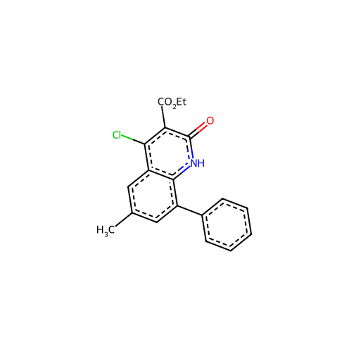 CCOC(=O)c1c(Cl)c2cc(C)cc(-c3ccccc3)c2[nH]c1=O